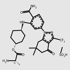 CS(=O)(=O)O.C[C@H](N)C(=O)O[C@H]1CC[C@H](Nc2cc(-n3nc(C(F)(F)F)c4c3CC(C)(C)CC4=O)ccc2C(N)=O)CC1